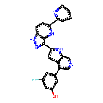 Oc1cc(F)cc(-c2cncc3[nH]c(-c4n[nH]c5ccc(-c6ccccn6)nc45)cc23)c1